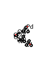 CC(C)c1nn(-c2ccccn2)c(-c2ccc(F)cc2)c1C=CC1CC(CC(=O)O)OC(C)(C)O1.Cc1ccccc1P(c1ccccc1C)c1ccccc1C.Cc1ccccc1P(c1ccccc1C)c1ccccc1C.[Pd]